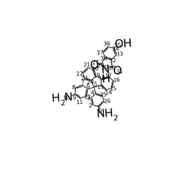 Nc1ccc(C2(c3ccc(N)cc3)c3ccccc3-c3ccccc32)cc1.O=C1NC(=O)c2cc(O)ccc21